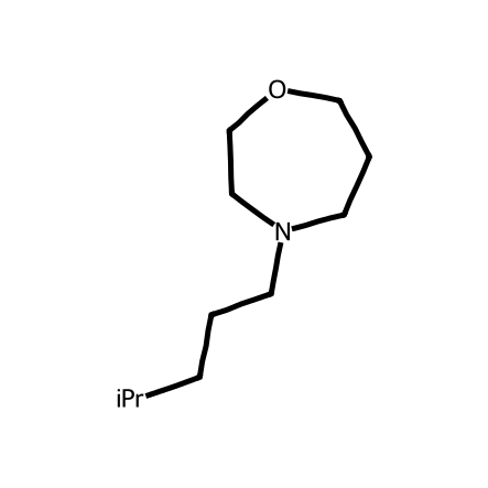 CC(C)CCCN1CCCOCC1